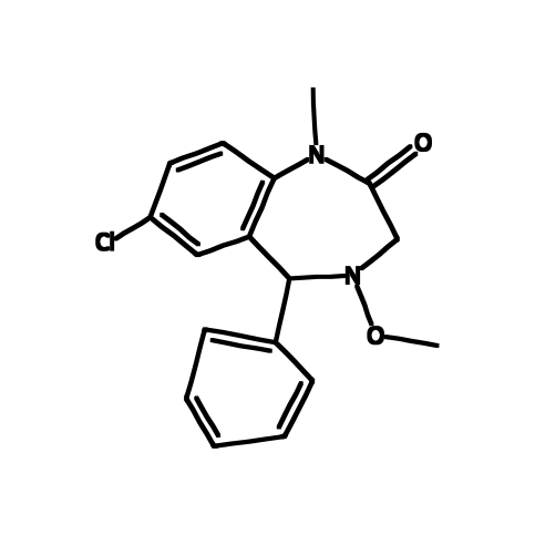 CON1CC(=O)N(C)c2ccc(Cl)cc2C1c1ccccc1